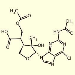 CC(=O)Nc1nc(Cl)c2ncn([C@@H]3OC[C@@H]([C@H](COC(C)=O)C(=O)O)[C@]3(C)O)c2n1